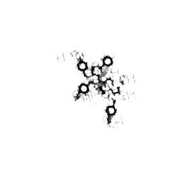 CC[C@@H]1[C@@H](C)[C@H](OCc2ccc(OC)cc2)C[S@@+]1C[C@@H](C)C(OS(=O)(=O)O)[C@H](OCc1ccc(OC)cc1)[C@@H]1OC(c2ccccc2)OC[C@@H]1OCc1ccc(OC)cc1